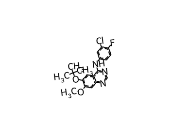 COc1cc2ncnc(Nc3ccc(F)c(Cl)c3)c2cc1OC(C)(C)C